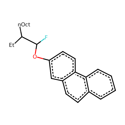 CCCCCCCCC(CC)C(F)Oc1ccc2c(ccc3ccccc32)c1